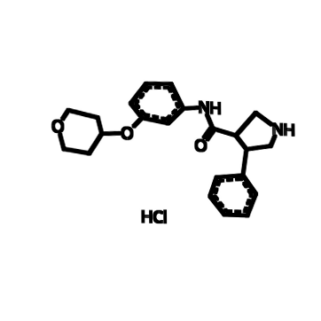 Cl.O=C(Nc1cccc(OC2CCOCC2)c1)C1CNCC1c1ccccc1